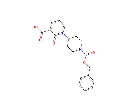 O=C(O)c1cccn(C2CCN(C(=O)OCc3ccccc3)CC2)c1=O